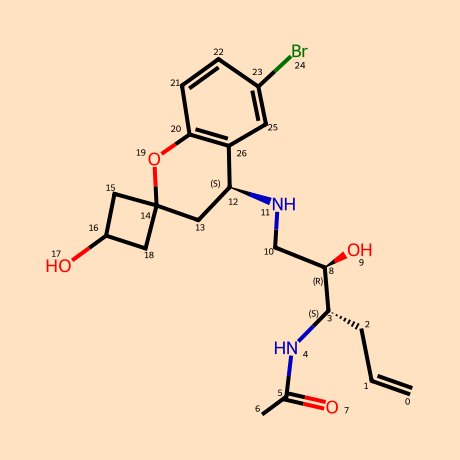 C=CC[C@H](NC(C)=O)[C@H](O)CN[C@H]1CC2(CC(O)C2)Oc2ccc(Br)cc21